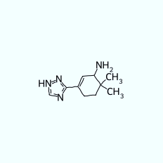 CC1(C)CCC(c2nc[nH]n2)=CC1N